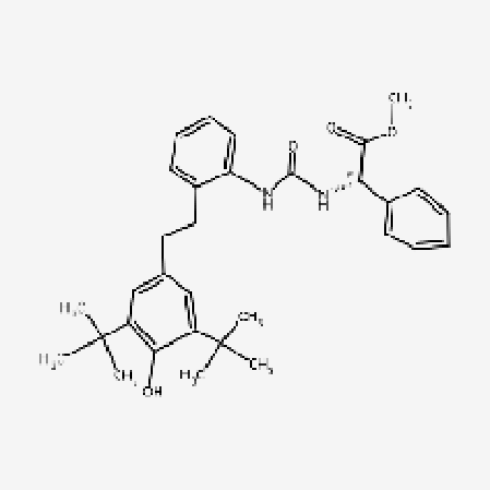 COC(=O)[C@@H](NC(=O)Nc1ccccc1CCc1cc(C(C)(C)C)c(O)c(C(C)(C)C)c1)c1ccccc1